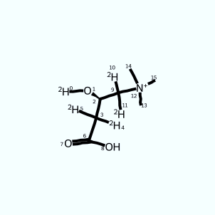 [2H]O[C@H](C([2H])([2H])C(=O)O)C([2H])([2H])[N+](C)(C)C